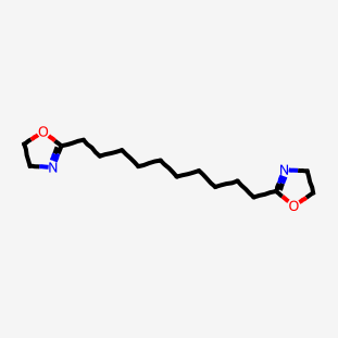 C(CCCCCC1=NCCO1)CCCCC1=NCCO1